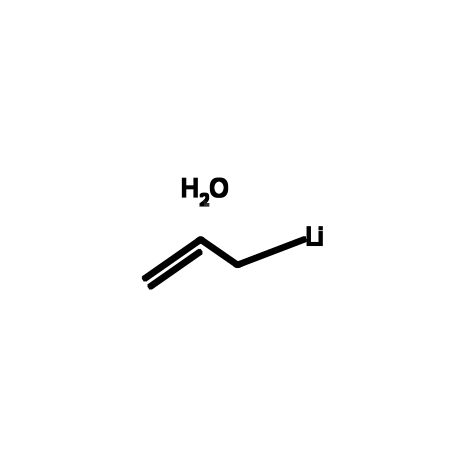 O.[Li][CH2]C=C